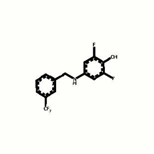 Oc1c(F)cc(NCc2cccc(C(F)(F)F)c2)cc1F